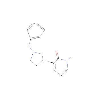 Cn1cccc([C@H]2CCN(Cc3ccccc3)C2)c1=O